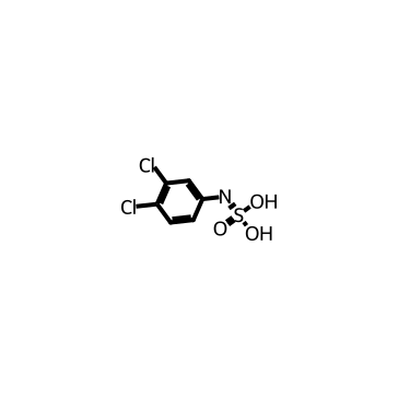 O=S(O)(O)=Nc1ccc(Cl)c(Cl)c1